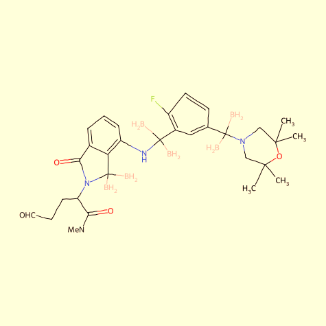 BC(B)(Nc1cccc2c1C(B)(B)N(C(CCC=O)C(=O)NC)C2=O)c1cc(C(B)(B)N2CC(C)(C)OC(C)(C)C2)ccc1F